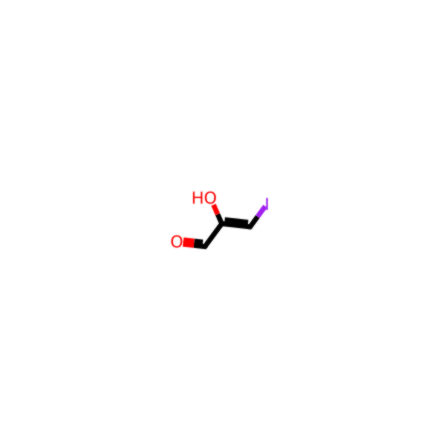 O=CC(O)=CI